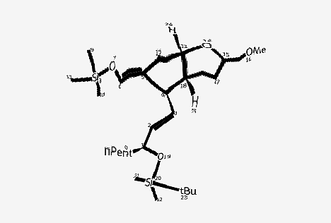 CCCCC[C@@H](/C=C/[C@H]1C(=CO[Si](C)(C)C)C[C@@H]2OC(OC)C[C@@H]21)O[Si](C)(C)C(C)(C)C